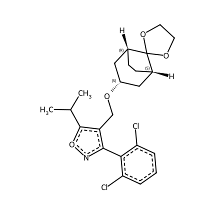 CC(C)c1onc(-c2c(Cl)cccc2Cl)c1CO[C@@H]1C[C@H]2CC[C@@H](C1)C21OCCO1